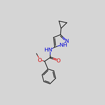 COC(C(=O)Nc1cc(C2CC2)n[nH]1)c1ccccc1